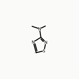 CN(C)c1n[c]sn1